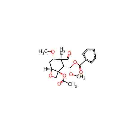 CO[C@@H](OC(=O)c1ccccc1)[C@H]1[C@](C)(C=O)[C@@H](OC)C[C@H]2OC[C@]21OC(C)=O